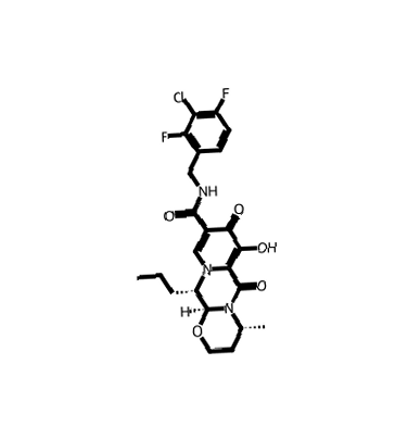 CCC[C@H]1[C@@H]2OCC[C@@H](C)N2C(=O)c2c(O)c(=O)c(C(=O)NCc3ccc(F)c(Cl)c3F)cn21